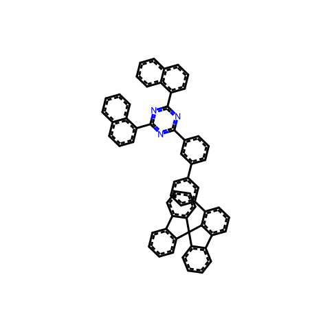 c1cc(-c2cccc(-c3cccc4c3C3(c5ccccc5-c5ccccc53)c3ccccc3-4)c2)cc(-c2nc(-c3cccc4ccccc34)nc(-c3cccc4ccccc34)n2)c1